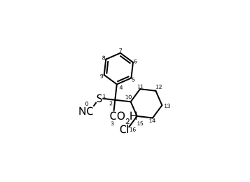 N#CSC(C(=O)O)(c1ccccc1)C1CCCCC1Cl